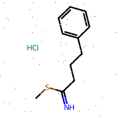 CSC(=N)CCCc1ccccc1.Cl